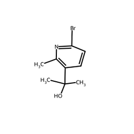 Cc1nc(Br)ccc1C(C)(C)O